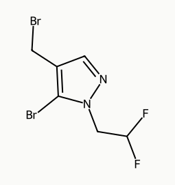 FC(F)Cn1ncc(CBr)c1Br